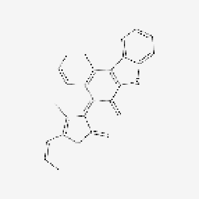 C=C1CC(/C=C\C)=C(C)C/1=c1\c(/C=C\C)c(C)c2c(sc3ccccc32)c1=C